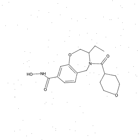 CCC1COc2cc(C(=O)NO)ccc2CN1C(=O)C1CCOCC1